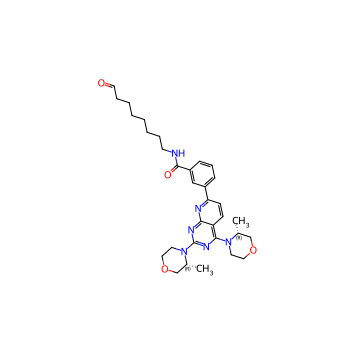 C[C@@H]1COCCN1c1nc(N2CCOC[C@H]2C)c2ccc(-c3cccc(C(=O)NCCCCCCCC=O)c3)nc2n1